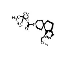 CCn1ncc2c1C1(CC2)CCN(C(=O)OC(C)(C)C)CC1